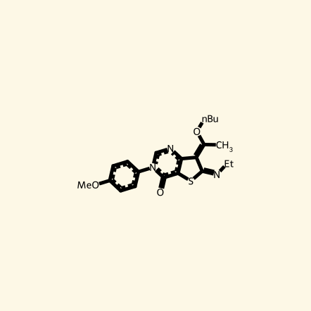 CCCCO/C(C)=C1/C(=N\CC)Sc2c1ncn(-c1ccc(OC)cc1)c2=O